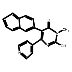 Cn1c(O)nc(-c2ccncc2)c(-c2ccc3ccccc3c2)c1=O